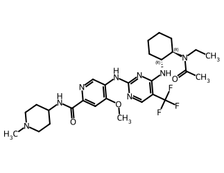 CCN(C(C)=O)[C@@H]1CCCC[C@H]1Nc1nc(Nc2cnc(C(=O)NC3CCN(C)CC3)cc2OC)ncc1C(F)(F)F